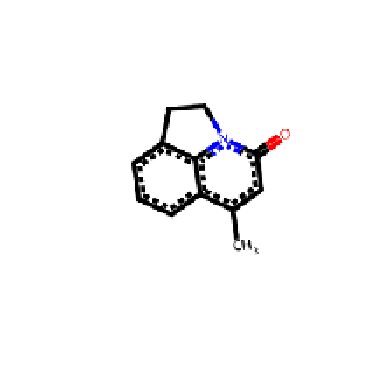 Cc1cc(=O)n2c3c(cccc13)CC2